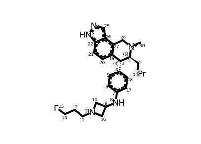 CC(C)C[C@H]1[C@H](c2ccc(NC3CN(CCCF)C3)cc2)c2ccc3[nH]ncc3c2CN1C